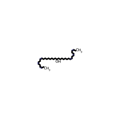 CC/C=C\C/C=C\C/C=C\CCCCCCCCC(O)CCCCCCC/C=C\C/C=C\C/C=C\CC